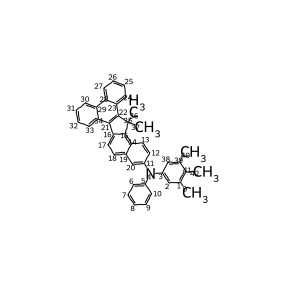 Cc1cc(N(c2ccccc2)c2ccc3c4c(ccc3c2)-c2c(c3ccccc3c3ccccc23)C4(C)C)cc(C)c1C